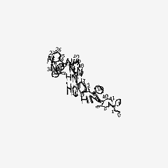 C=CC(=O)N1CCC(NC(=O)c2ccc(Nc3ncc(C)c(NCc4cccnc4N(C)S(C)(=O)=O)n3)c(O)c2)CC1